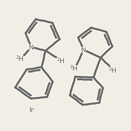 [2H]N1C=CC=CC1([2H])c1ccccc1.[2H]N1C=CC=CC1([2H])c1ccccc1.[Ir]